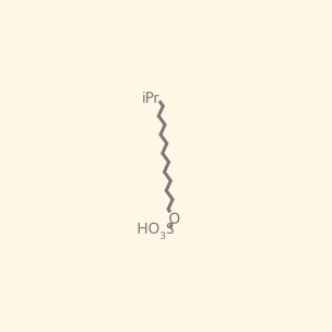 CC(C)CCCCCCCCCCCCOS(=O)(=O)O